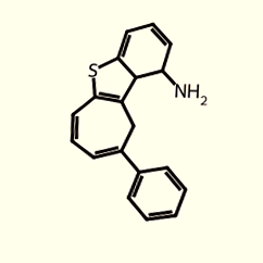 NC1C=CC=C2SC3=C(CC(c4ccccc4)=CC=C3)C21